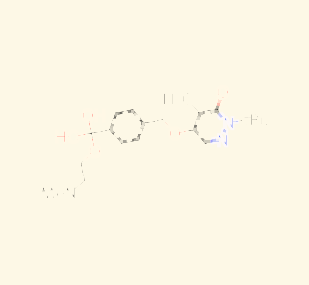 CNCCOC(O)(O)c1ccc(COc2cnn(C(C)(C)C)c(=O)c2C)cc1